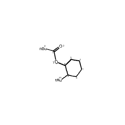 CCCCC(=O)OC1CCCCC1C(C)(C)C